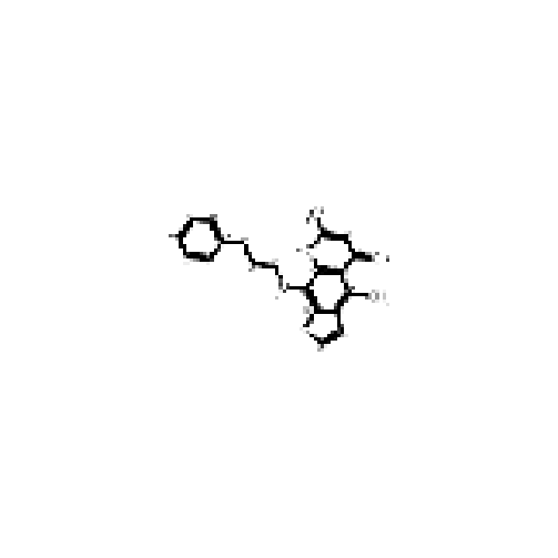 Cc1cc(=O)c2c(C)c3ccoc3c(OCCCc3ccccc3)c2o1